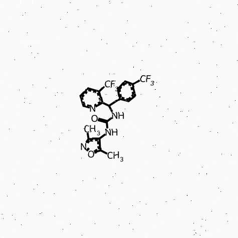 Cc1noc(C)c1NC(=O)NC(c1ccc(C(F)(F)F)cc1)c1ncccc1C(F)(F)F